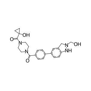 O=C(c1ccc(-c2ccc3c(c2)CN(CO)N3)cc1)N1CCN(C(=O)C2(O)CC2)CC1